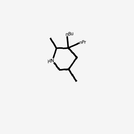 CCCCC1(CCC)CC(C)CNC1C